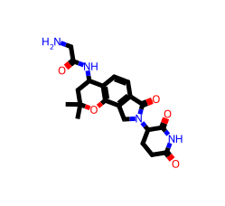 CC1(C)CC(NC(=O)CN)c2ccc3c(c2O1)CN(C1CCC(=O)NC1=O)C3=O